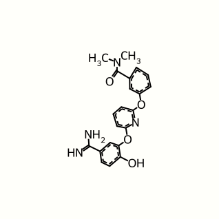 CN(C)C(=O)c1cccc(Oc2cccc(Oc3cc(C(=N)N)ccc3O)n2)c1